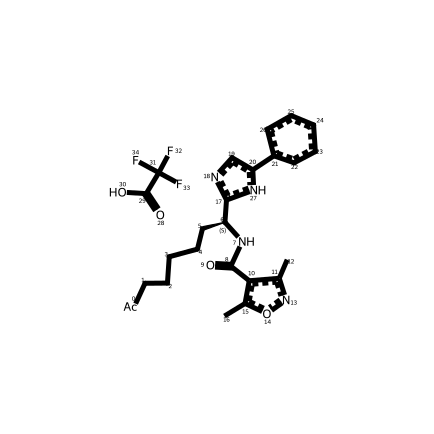 CC(=O)CCCCC[C@H](NC(=O)c1c(C)noc1C)c1ncc(-c2ccccc2)[nH]1.O=C(O)C(F)(F)F